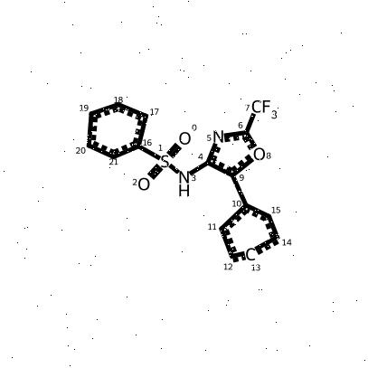 O=S(=O)(Nc1nc(C(F)(F)F)oc1-c1ccccc1)c1ccccc1